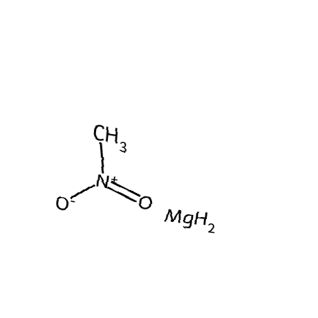 C[N+](=O)[O-].[MgH2]